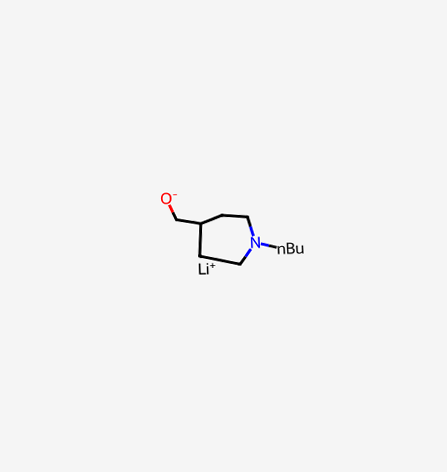 CCCCN1CCC(C[O-])CC1.[Li+]